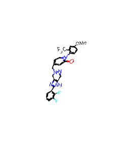 COc1ccc(-n2ccc(CN3Cc4nc(-c5cccc(F)c5F)[nH]c4C=N3)cc2=O)c(C(F)(F)F)c1